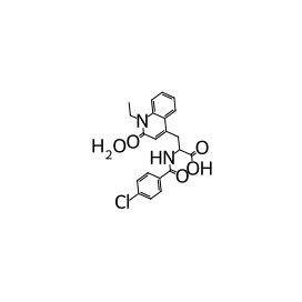 CCn1c(=O)cc(CC(NC(=O)c2ccc(Cl)cc2)C(=O)O)c2ccccc21.O